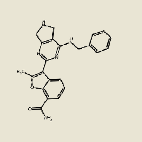 Cc1oc2c(C(N)=O)cccc2c1-c1nc2c(c(NCc3ccccc3)n1)CNC2